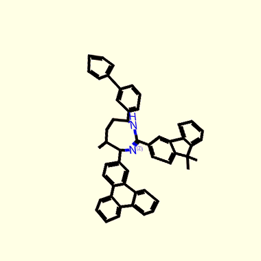 CC1CCC(c2cccc(-c3ccccc3)c2)N/C(c2ccc3c(c2)-c2ccccc2C3(C)C)=N\C1c1ccc2c3ccccc3c3ccccc3c2c1